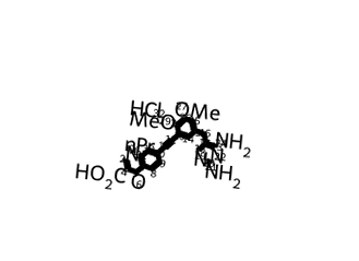 CCCn1cc(C(=O)O)c(=O)c2ccc(C#Cc3cc(Cc4cnc(N)nc4N)cc(OC)c3OC)cc21.Cl